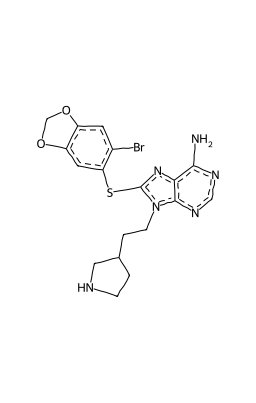 Nc1ncnc2c1nc(Sc1cc3c(cc1Br)OCO3)n2CCC1CCNC1